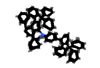 c1ccc(-c2ccc(-c3ccccc3N(c3ccc(-c4cccc5c4-c4ccccc4C5(c4ccccc4)c4ccccc4)cc3)c3ccc4c(c3)C(c3ccccc3)(c3ccccc3)c3ccccc3-4)cc2)cc1